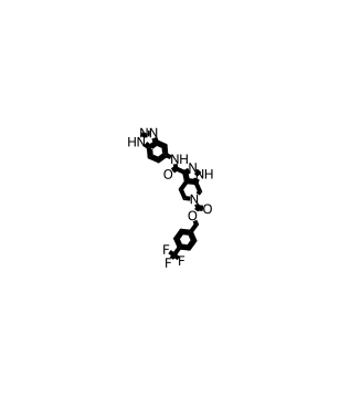 O=C(Nc1ccc2[nH]nnc2c1)c1n[nH]c2c1CCN(C(=O)OCc1ccc(C(F)(F)F)cc1)C2